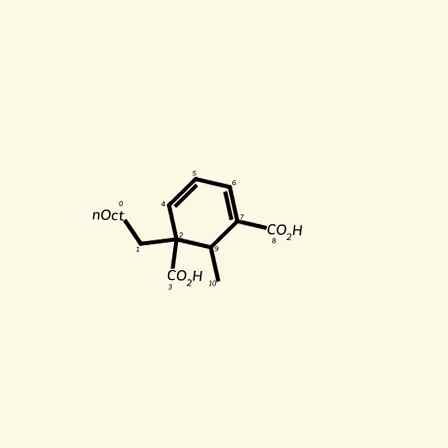 CCCCCCCCCC1(C(=O)O)C=CC=C(C(=O)O)C1C